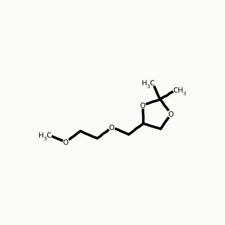 COCCOCC1COC(C)(C)O1